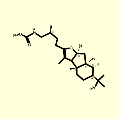 CCCC(C)(C)[C@H]1CC[C@]2(C)C3C(C)=C(CC[C@H](C)CNC(=O)OC)O[C@H]3C[C@H]2[C@@H]1C